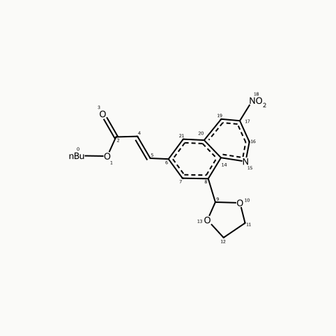 CCCCOC(=O)C=Cc1cc(C2OCCO2)c2ncc([N+](=O)[O-])cc2c1